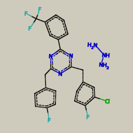 Fc1ccc(Cc2nc(Cc3ccc(F)c(Cl)c3)nc(-c3cccc(C(F)(F)F)c3)n2)cc1.NNN